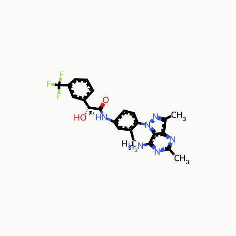 Cc1nc(N)c2c(n1)c(C)nn2-c1ccc(NC(=O)[C@H](O)c2cccc(C(F)(F)F)c2)cc1C